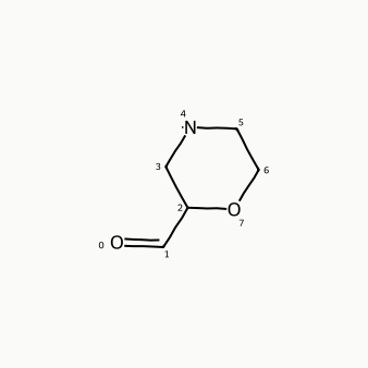 O=CC1C[N]CCO1